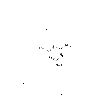 Nc1nccc(S)n1.[NaH]